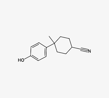 CC1(c2ccc(O)cc2)CCC(C#N)CC1